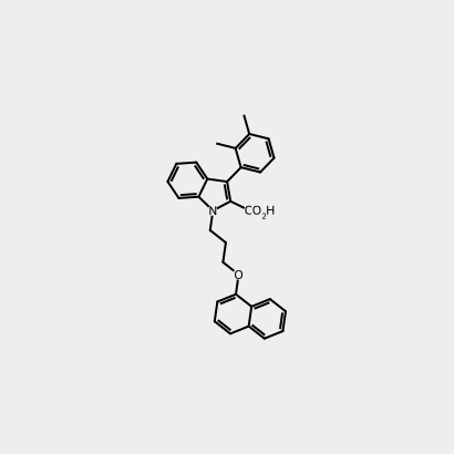 Cc1cccc(-c2c(C(=O)O)n(CCCOc3cccc4ccccc34)c3ccccc23)c1C